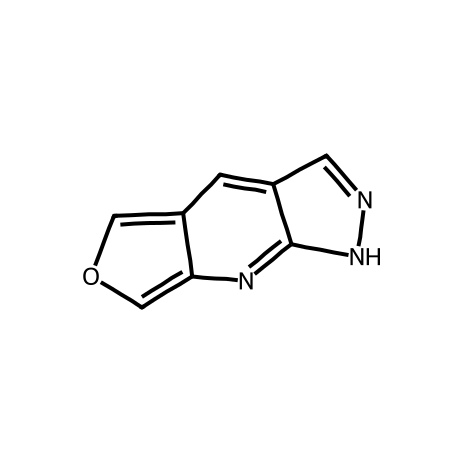 c1occ2nc3[nH]ncc3cc12